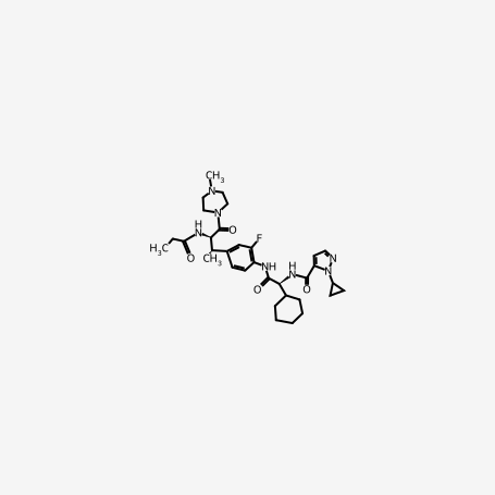 CCC(=O)N[C@@H](C(=O)N1CCN(C)CC1)[C@@H](C)c1ccc(NC(=O)[C@@H](NC(=O)c2ccnn2C2CC2)C2CCCCC2)c(F)c1